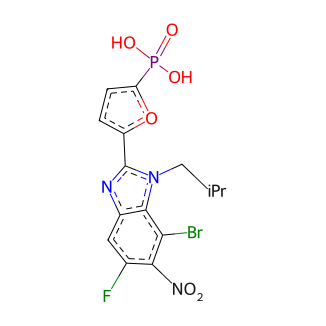 CC(C)Cn1c(-c2ccc(P(=O)(O)O)o2)nc2cc(F)c([N+](=O)[O-])c(Br)c21